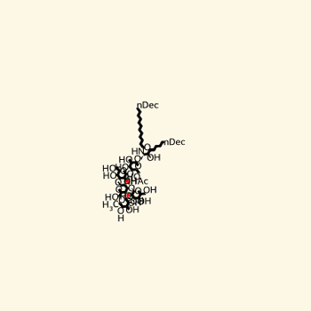 CCCCCCCCCCCCC/C=C/[C@@H](O)[C@H](CO[C@@H]1OC(CO)[C@@H](O[C@@H]2OC(CO)[C@H](O)[C@H](O[C@@H]3OC(CO)[C@@H](O[C@H]4OC(C)[C@@H](O)C(O)[C@@H]4O)[C@H](O[C@@H]4OC(CO)[C@H](O)[C@H](O)C4O)C3NC(C)=O)C2O)[C@H](O)C1O)NC(=O)CCCCCCCCCCCCCCCCCCCCC